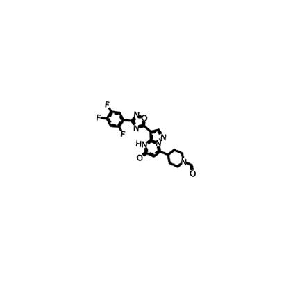 O=CN1CCC(c2cc(=O)[nH]c3c(-c4nc(-c5cc(F)c(F)cc5F)no4)cnn23)CC1